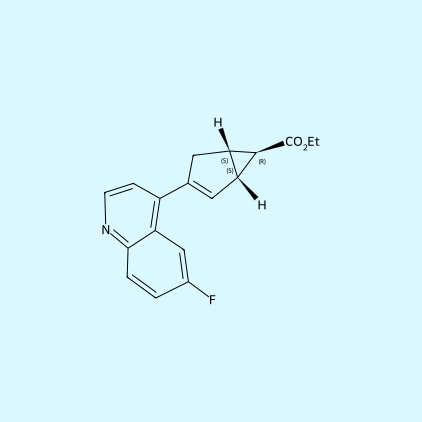 CCOC(=O)[C@H]1[C@@H]2C=C(c3ccnc4ccc(F)cc34)C[C@@H]21